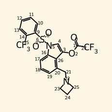 O=C(Oc1cn(S(=O)(=O)c2ccccc2C(F)(F)F)c2cccc(CN3CCC3)c12)C(F)(F)F